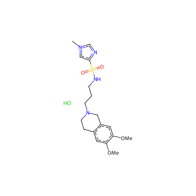 COc1cc2c(cc1OC)CN(CCCNS(=O)(=O)c1cn(C)cn1)CC2.Cl